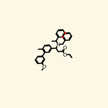 CCOC(=O)CC(c1ccc(C)c(-c2cccc(OC)c2)c1)N(Cc1ccccc1)C(C)c1ccccc1